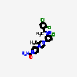 CC1CN(c2ccc(Cl)c(N[C@H](C)c3ccc(Cl)cc3Cl)c2)CCN1C1CCN(C(N)=O)CC1